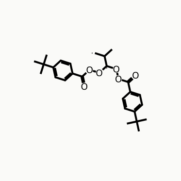 [CH2]C(C)[C](OOC(=O)c1ccc(C(C)(C)C)cc1)OOC(=O)c1ccc(C(C)(C)C)cc1